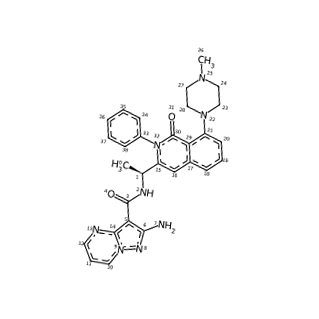 C[C@H](NC(=O)c1c(N)nn2cccnc12)c1cc2cccc(N3CCN(C)CC3)c2c(=O)n1-c1ccccc1